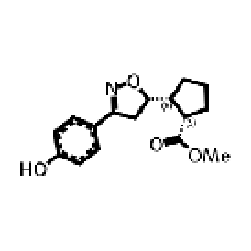 COC(=O)[C@H]1CCC[C@H]1C1CC(c2ccc(O)cc2)=NO1